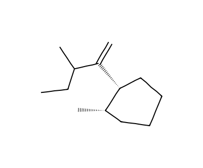 C=C(C(C)CC)[C@@H]1CCCC[C@@H]1C